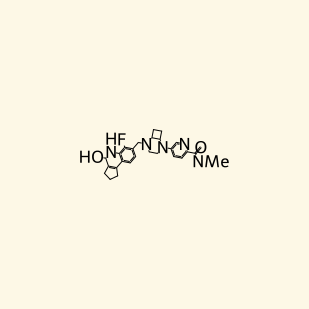 CNC(=O)c1ccc(N2CCN(Cc3ccc4c(c3F)NC(O)C3=C4CCC3)C3CCC32)cn1